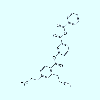 CCCc1ccc(C(=O)Oc2cccc(C(=O)OC(=O)c3ccccc3)c2)c(CCC)c1